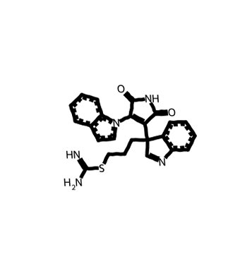 N=C(N)SCCCC1(C2=C(n3ccc4ccccc43)C(=O)NC2=O)C=Nc2ccccc21